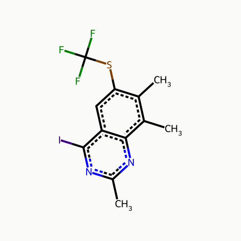 Cc1nc(I)c2cc(SC(F)(F)F)c(C)c(C)c2n1